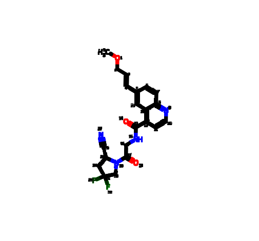 COC/C=C/c1ccc2nccc(C(=O)NCC(=O)N3CC(F)(F)CC3C#N)c2c1